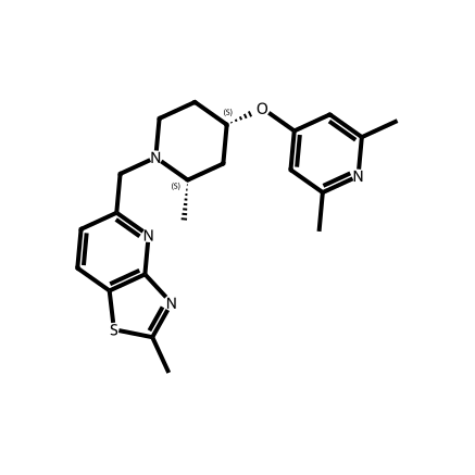 Cc1cc(O[C@H]2CCN(Cc3ccc4sc(C)nc4n3)[C@@H](C)C2)cc(C)n1